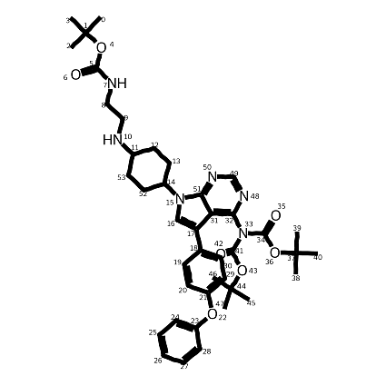 CC(C)(C)OC(=O)NCCNC1CCC(n2cc(-c3ccc(Oc4ccccc4)cc3)c3c(N(C(=O)OC(C)(C)C)C(=O)OC(C)(C)C)ncnc32)CC1